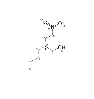 CCCC[C@@H](CO)CC[N+](=O)[O-]